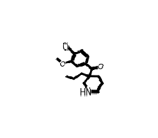 CCCC1(C(=O)c2ccc(Cl)c(OC)c2)CCCNC1